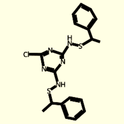 CC(SNc1nc(Cl)nc(NSC(C)c2ccccc2)n1)c1ccccc1